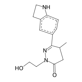 CC1CC(=O)N(CCO)N=C1c1ccc2c(c1)CCN2